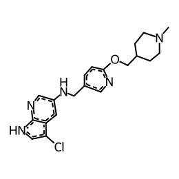 CN1CCC(COc2ccc(CNc3cnc4[nH]cc(Cl)c4c3)cn2)CC1